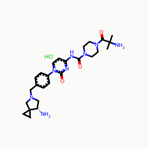 CC(C)(N)C(=O)N1CCN(C(=O)Nc2ccn(-c3ccc(CN4C[C@H](N)C5(CC5)C4)cc3)c(=O)n2)CC1.Cl